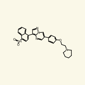 O=[SH](=O)c1ccc(-c2cnn3cc(-c4ccc(OCCN5CCCCC5)cc4)cnc23)c2ccccc12